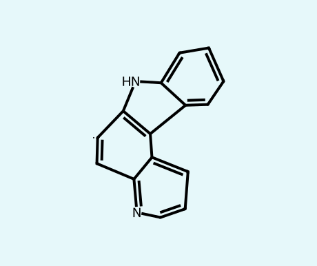 [c]1cc2ncccc2c2c1[nH]c1ccccc12